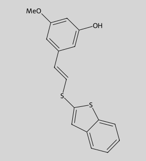 COc1cc(O)cc(/C=C/Sc2cc3ccccc3s2)c1